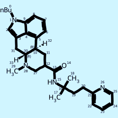 CCCCn1cc2c3c(cccc31)[C@H]1CC(C(=O)NC(C)(C)CCc3ccccn3)CN(C)[C@@H]1C2